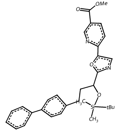 COC(=O)c1ccc(-c2cnc(C(CCc3ccc(-c4ccccc4)cc3)O[Si](C)(C)C(C)(C)C)o2)nc1